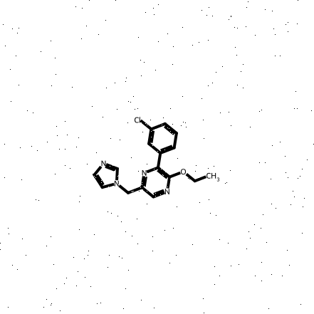 CCOc1ncc(Cn2ccnc2)nc1-c1cccc(Cl)c1